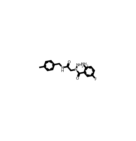 Cc1ccc(CNC(=O)CN(N)C(=O)c2cc(F)ccc2N)cc1